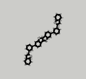 c1cc(-c2ccc3c(c2)sc2c4ccc(-c5cccc(-c6cc7ccccc7o6)c5)cc4sc32)cc(-c2cc3ccccc3o2)c1